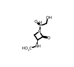 O=C(O)N[C@H]1CN([PH](=O)CO)C1=O